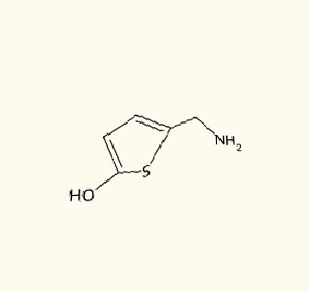 NCc1ccc(O)s1